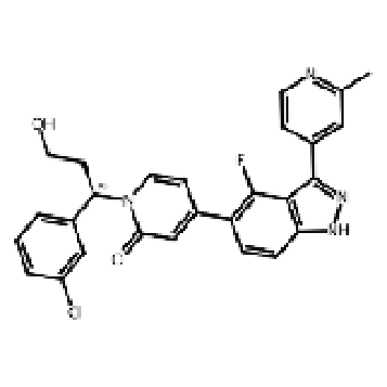 Cc1cc(-c2n[nH]c3ccc(-c4ccn([C@H](CCO)c5cccc(Cl)c5)c(=O)c4)c(F)c23)ccn1